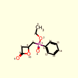 CCOP(=O)(CC1CC(=O)O1)c1ccccc1